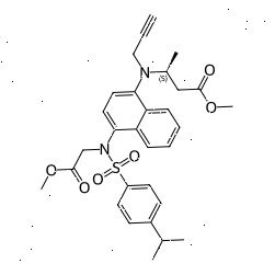 C#CCN(c1ccc(N(CC(=O)OC)S(=O)(=O)c2ccc(C(C)C)cc2)c2ccccc12)[C@@H](C)CC(=O)OC